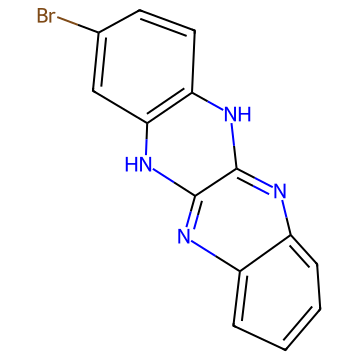 Brc1ccc2c(c1)Nc1nc3ccccc3nc1N2